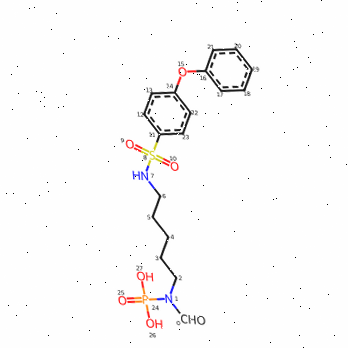 O=CN(CCCCCNS(=O)(=O)c1ccc(Oc2ccccc2)cc1)P(=O)(O)O